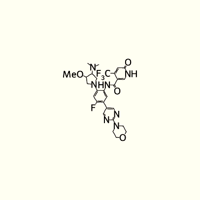 COC1CN(c2cc(F)c(-c3cnc(N4CCOCC4)nc3)cc2NC(=O)c2c[nH]c(=O)cc2C(F)(F)F)CC1N(C)C